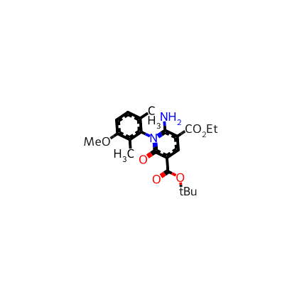 CCOC(=O)c1cc(C(=O)OC(C)(C)C)c(=O)n(-c2c(C)ccc(OC)c2C)c1N